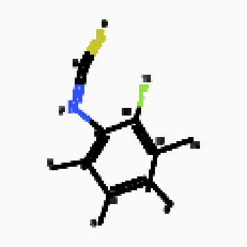 Cc1c(C)c(C)c(N=C=S)c(F)c1C